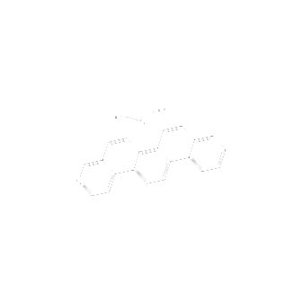 CCCCNCCCC.c1ccc2c(c1)ccc1c2ccc2c3ccncc3ccc21